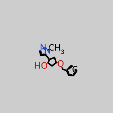 Cn1nccc1C1CC(OCc2ccccc2)CC1O